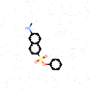 CNc1ccc2cc(S(=O)(=O)Oc3ccccc3)ccc2c1